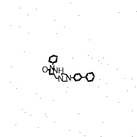 O=c1cc(CN2CCN(c3ccc(-c4ccccc4)cc3)CC2)[nH]n1-c1ccccc1